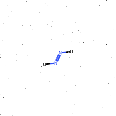 [U][N]=[N][U]